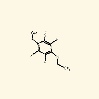 OCc1c(F)c(F)c(OCC(F)(F)F)c(F)c1F